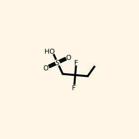 CCC(F)(F)CS(=O)(=O)O